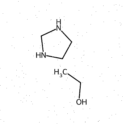 C1CNCN1.CCO